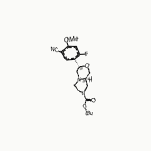 COc1cc(F)c([C@H]2CN3CCN(C(=O)OC(C)(C)C)C[C@@H]3CO2)cc1C#N